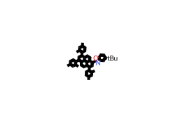 Cc1ccc(-c2cc(-c3nc4cc(C(C)(C)C)ccc4o3)c3ccc4c(-c5ccc(C)cc5C)cc(-c5ccc(C)cc5C)c5ccc2c3c45)c(C)c1